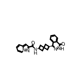 O=C(N[C@H]1CC2(C1)C[C@H](c1n[nH]c(=O)c3ccccc31)C2)c1cc2ccccn2n1